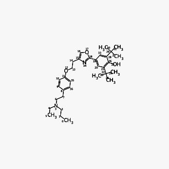 CCCN(CC)CCc1ccc(OCCc2coc(-c3cc(C(C)(C)C)c(O)c(C(C)(C)C)c3)n2)cc1